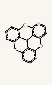 c1cc2c3c(c1)Oc1ccnc4c1B3c1c(cccc1O4)O2